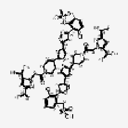 CS(=O)(=O)Oc1cccc(Cl)c1[C@H]1CC(c2csc(C3CCN(C(=O)Cn4nc(C(F)F)cc4C(F)F)CC3)n2)=NO1.O=C(Cn1nc(C(F)F)cc1C(F)F)N1CCC(c2nc(C3=NO[C@@H](c4c(Cl)cccc4CS(=O)(=O)O)C3)cs2)CC1